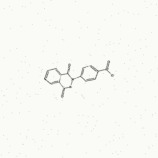 O=C1[N]N(c2ccc([N+](=O)[O-])cc2)C(=O)c2ccccc21